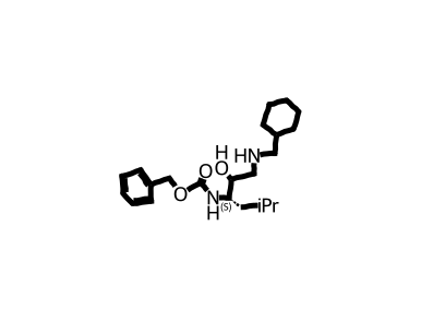 CC(C)C[C@H](NC(=O)OCc1ccccc1)C(O)CNCC1CCCCC1